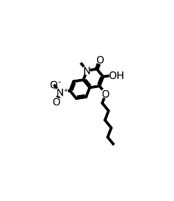 CCCCCCOc1c(O)c(=O)n(C)c2cc([N+](=O)[O-])ccc12